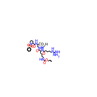 C=CCOC(=O)NCCCCC(NC(=O)CCCCNC(=N)N)C(=O)NCC(NC(=O)C1CCCN1S(=O)(=O)c1ccccc1)C(=O)O